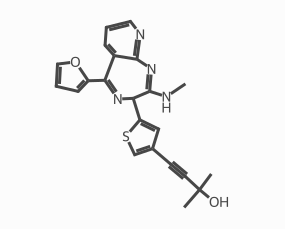 CNC1=Nc2ncccc2C(c2ccco2)=NC1c1cc(C#CC(C)(C)O)cs1